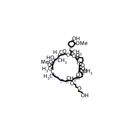 CO[C@@H]1C[C@H](C[C@@H](C)[C@@H]2CC(=O)[C@H](C)/C=C(\C)[C@@H](O)[C@@H](OC)C(=O)[C@H](C)C[C@H](C)/C=C/C=C/C=C(\C)C(OCCOCCO)C[C@@H]3CC[C@@H](C)[C@@](O)(O3)C(=O)C(=O)N3CCCC[C@H]3C(=O)O2)CC[C@H]1O